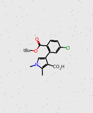 Cc1c(C(=O)O)c(-c2cc(Cl)ccc2C(=O)OC(C)(C)C)cn1C